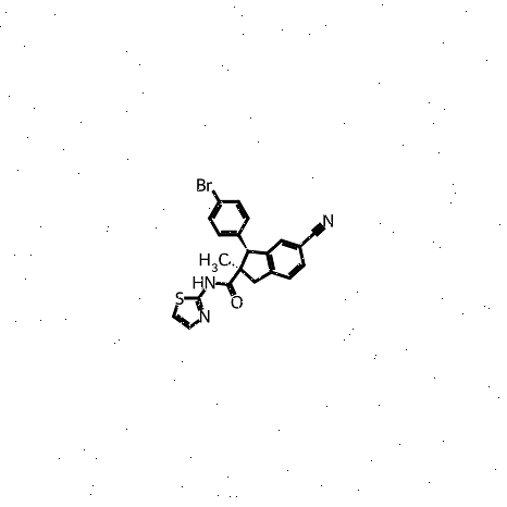 C[C@@]1(C(=O)Nc2nccs2)Cc2ccc(C#N)cc2[C@@H]1c1ccc(Br)cc1